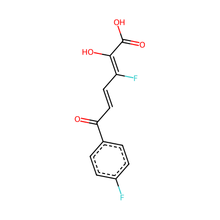 O=C(O)C(O)=C(F)C=CC(=O)c1ccc(F)cc1